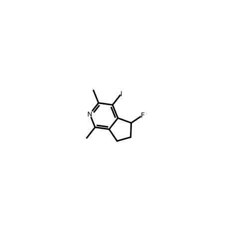 Cc1nc(C)c2c(c1I)C(F)CC2